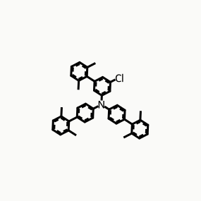 Cc1cccc(C)c1-c1ccc(N(c2ccc(-c3c(C)cccc3C)cc2)c2cc(Cl)cc(-c3c(C)cccc3C)c2)cc1